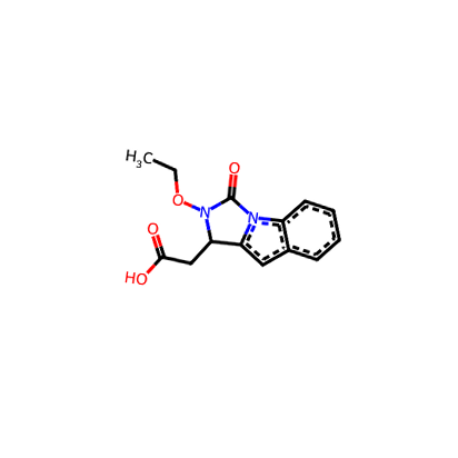 CCON1C(=O)n2c(cc3ccccc32)C1CC(=O)O